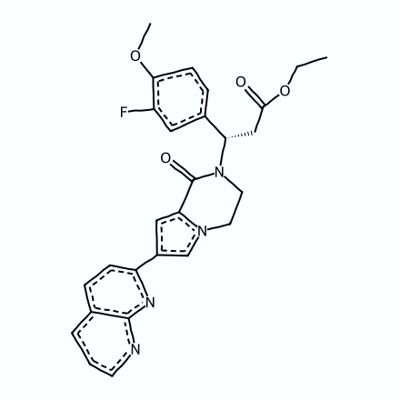 CCOC(=O)C[C@@H](c1ccc(OC)c(F)c1)N1CCn2cc(-c3ccc4cccnc4n3)cc2C1=O